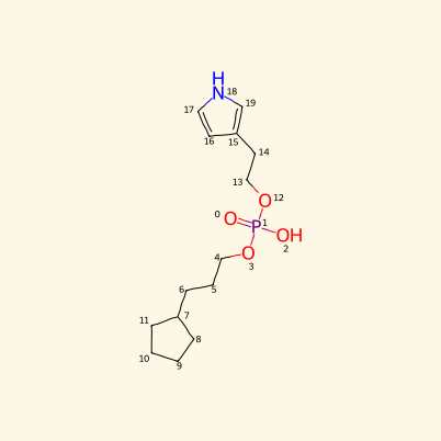 O=P(O)(OCCCC1CCCC1)OCCc1cc[nH]c1